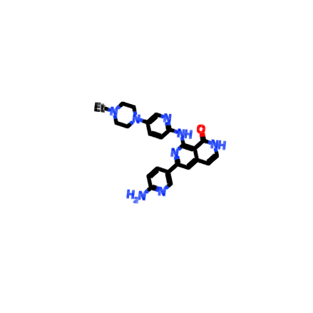 CCN1CCN(c2ccc(Nc3nc(-c4ccc(N)nc4)cc4cc[nH]c(=O)c34)nc2)CC1